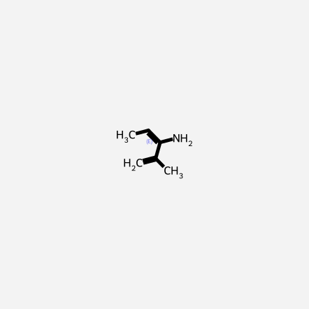 C=C(C)/C(N)=C\C